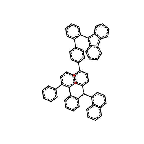 c1ccc(-c2ccccc2-c2ccccc2N(c2ccc(-c3ccc(-c4ccccc4-n4c5ccccc5c5ccccc54)cc3)cc2)c2cccc3ccccc23)cc1